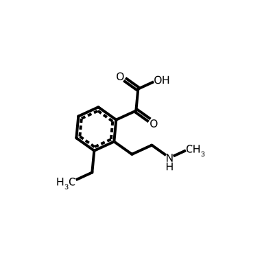 CCc1cccc(C(=O)C(=O)O)c1CCNC